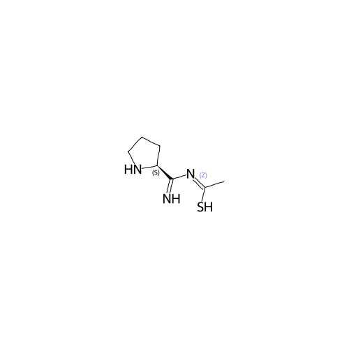 C/C(S)=N/C(=N)[C@@H]1CCCN1